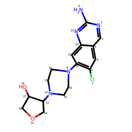 Nc1ncc2cc(Cl)c(N3CCN(C4COCC4O)CC3)cc2n1